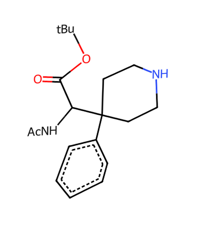 CC(=O)NC(C(=O)OC(C)(C)C)C1(c2ccccc2)CCNCC1